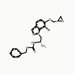 C[C@@H](Cn1ncc2ccc(OC[C@H]3CO3)c(Br)c21)NC(=O)OCc1ccccc1